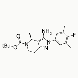 Cc1cc(-n2nc3c(c2N)[C@H](C)N(C(=O)OC(C)(C)C)CC3)cc(C)c1F